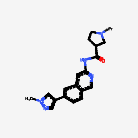 CC(C)N1CCC(C(=O)Nc2cc3cc(-c4cnn(C)c4)ccc3cn2)C1